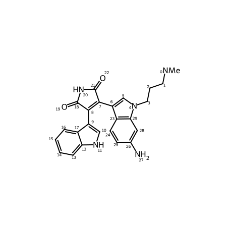 CNCCCn1cc(C2=C(c3c[nH]c4ccccc34)C(=O)NC2=O)c2ccc(N)cc21